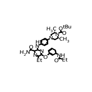 CCC(=O)NC1C=C(OC2=NC(Nc3ccc(N4C[C@@H](C)N(C(=O)OC(C)(C)C)[C@@H](C)C4)cc3)C(C(N)=O)N=C2CC)C=CC1